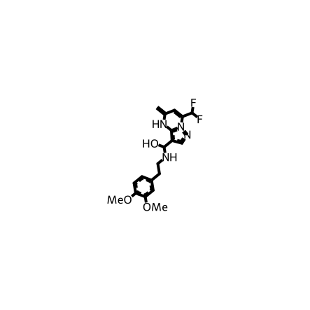 C=C1C=C(C(F)F)n2ncc(C(O)NCCc3ccc(OC)c(OC)c3)c2N1